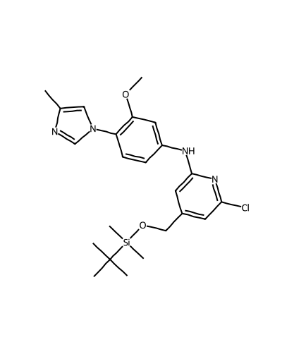 COc1cc(Nc2cc(CO[Si](C)(C)C(C)(C)C)cc(Cl)n2)ccc1-n1cnc(C)c1